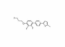 Cc1ccc(-c2ccc(-c3ccc(OCCCF)c(F)c3F)cc2)s1